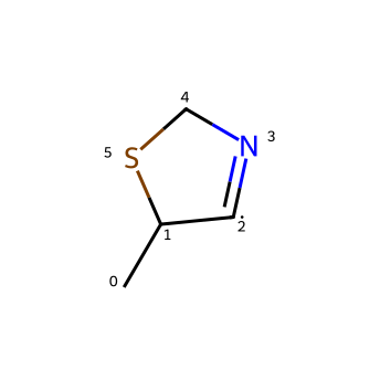 CC1[C]=NCS1